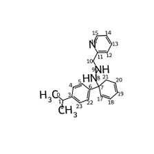 CC(C)c1ccc(C2(NNCc3ccccn3)C=CC=CC2)cc1